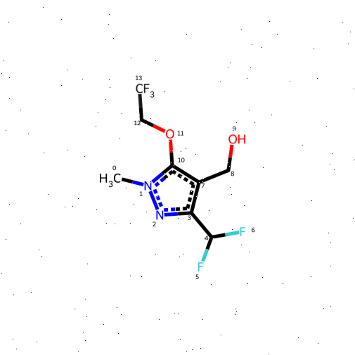 Cn1nc(C(F)F)c(CO)c1OCC(F)(F)F